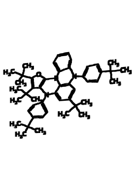 CC(C)(C)c1ccc(N2c3ccccc3B3c4oc(C(C)(C)C)c(C(C)(C)C)c4N(c4ccc(C(C)(C)C)cc4)c4cc(C(C)(C)C)cc2c43)cc1